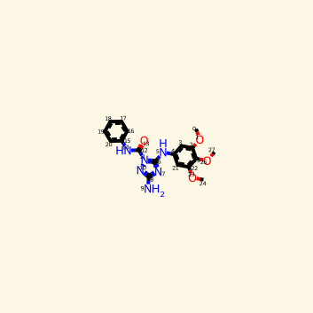 COc1cc(Nc2nc(N)nn2C(=O)Nc2ccccc2)cc(OC)c1OC